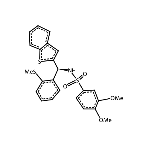 COc1ccc(S(=O)(=O)N[C@H](c2cc3ccccc3s2)c2ccccc2SC)cc1OC